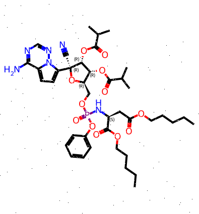 CCCCCOC(=O)C[C@H](NP(=O)(OC[C@H]1O[C@@](C#N)(c2ccc3c(N)ncnn23)[C@H](OC(=O)C(C)C)[C@@H]1OC(=O)C(C)C)Oc1ccccc1)C(=O)OCCCCC